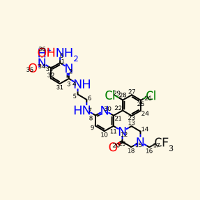 Nc1nc(NCCNc2ccc(N3CCN(CC(F)(F)F)CC3=O)c(-c3ccc(Cl)cc3Cl)n2)ccc1[NH+]([O-])O